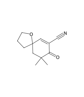 CC1(C)CC2(C=C(C#N)C1=O)CCCO2